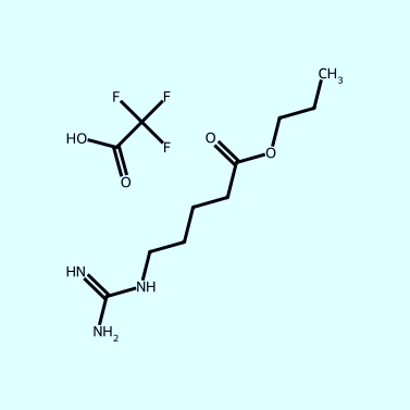 CCCOC(=O)CCCCNC(=N)N.O=C(O)C(F)(F)F